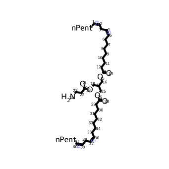 CCCCC/C=C\C/C=C\CCCCCCCC(=O)OCC(COC(=O)CCN)COC(=O)CCCCCCC/C=C\C/C=C\CCCCC